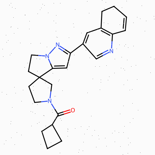 O=C(C1CCC1)N1CCC2(CCn3nc(-c4cnc5c(c4)CCC=C5)cc32)C1